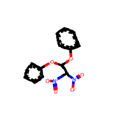 O=[N+]([O-])C(C(Oc1ccccc1)Oc1ccccc1)[N+](=O)[O-]